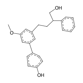 COc1cc(CCC(CO)c2ccccc2)cc(-c2ccc(O)cc2)c1